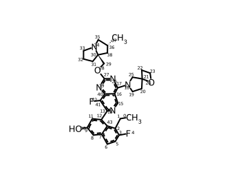 CCc1c(F)ccc2cc(O)cc(-c3ncc4c(N5CCC6(CCO6)C5)nc(OC[C@@]56CCCN5C[C@H](C)C6)nc4c3F)c12